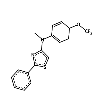 CN(C1=CCC(OC(F)(F)F)C=C1)c1csc(-c2ccccc2)n1